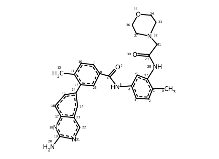 Cc1ccc(NC(=O)c2ccc(C)c(-c3ccc4nc(N)ncc4c3)c2)cc1NC(=O)CN1CCOCC1